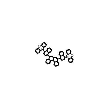 c1ccc2c(c1)Oc1ccccc1N2c1ccc(-c2cc3cc(-c4ccc(N5c6ccccc6Oc6ccccc65)c5ccccc45)c4ccccc4c3c3ccccc23)c2ccccc12